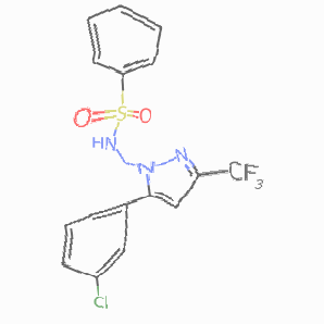 O=S(=O)(Nn1nc(C(F)(F)F)cc1-c1cccc(Cl)c1)c1ccccc1